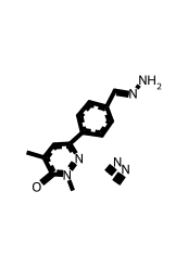 C#N.C#N.Cc1cc(-c2ccc(C=NN)cc2)nn(C)c1=O